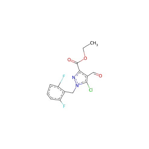 CCOC(=O)c1nn(Cc2c(F)cccc2F)c(Cl)c1C=O